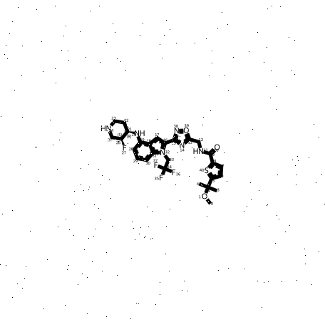 COC(C)(C)c1ccc(C(=O)NCc2nc(-c3cc4c(N[C@@H]5CCNC[C@@H]5F)cccc4n3CC(F)(F)F)no2)s1